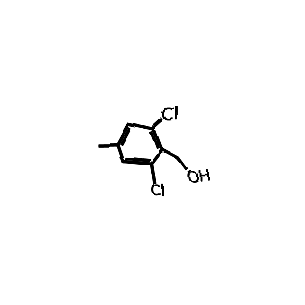 Cc1cc(Cl)c(CO)c(Cl)c1